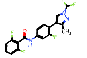 Cc1nn(C(F)F)cc1-c1ccc(NC(=O)c2c(F)cccc2F)cc1F